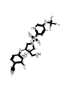 N#Cc1ccc(O[C@H]2CN(S(=O)(=O)c3ccc(OC(F)(F)F)cn3)C[C@@]2(O)CO)cc1F